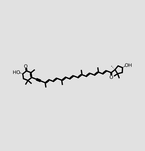 CC1=C(C#C/C(C)=C/C=C/C(C)=C/C=C/C=C(C)/C=C/C=C(C)/C=C/C(=O)[C@@]2(C)C[C@H](O)CC2(C)C)C(C)(C)C[C@H](O)C1=O